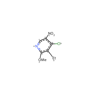 CCc1c(OC)ncc([N+](=O)[O-])c1Cl